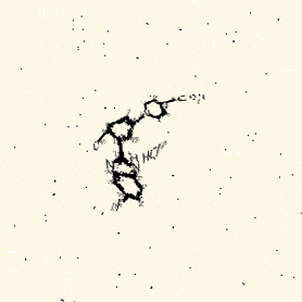 Cl.O=C(O)C1CCN(c2ccc(Cl)c(-c3nc4cc(F)ccc4[nH]3)c2)CC1